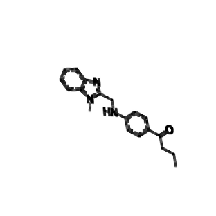 CCCC(=O)c1ccc(NCc2nc3ccccc3n2C)cc1